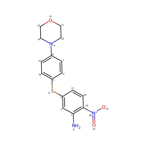 Nc1cc(Sc2ccc(N3CCOCC3)cc2)ccc1[N+](=O)[O-]